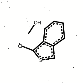 CO.Clc1scc2ccccc12